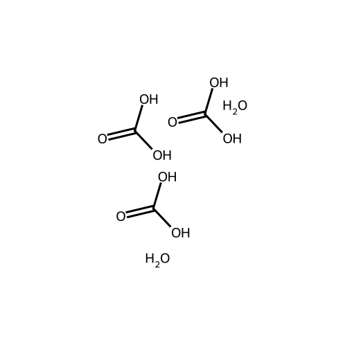 O.O.O=C(O)O.O=C(O)O.O=C(O)O